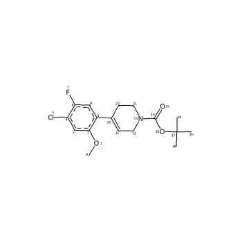 COc1cc(Cl)c(F)cc1C1=CCN(C(=O)OC(C)(C)C)CC1